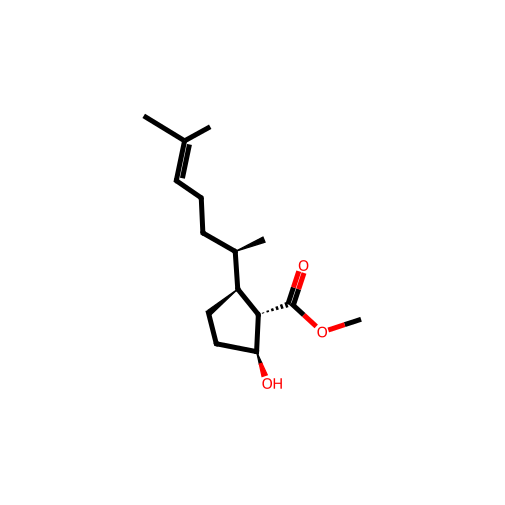 COC(=O)[C@H]1[C@H]([C@H](C)CCC=C(C)C)CC[C@@H]1O